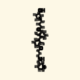 Cc1c(OCCCNCc2cccnc2)cccc1-c1cccc(OCCCN2CC[C@@H](O)C2)c1C